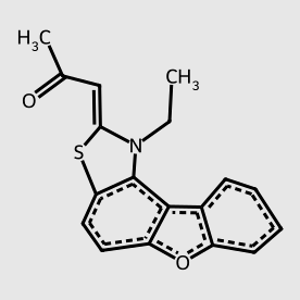 CCN1C(=CC(C)=O)Sc2ccc3oc4ccccc4c3c21